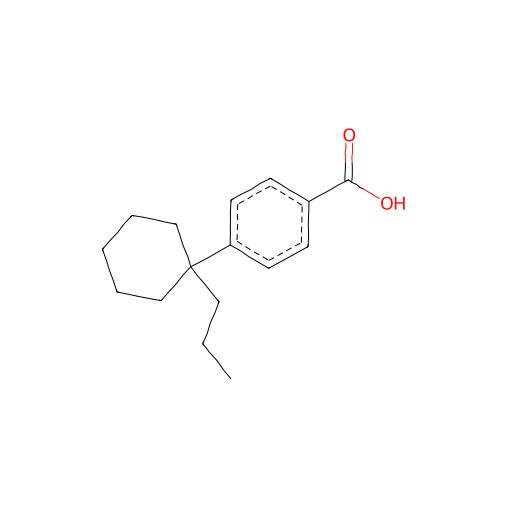 CCCC1(c2ccc(C(=O)O)cc2)CCCCC1